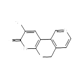 N#Cc1cc2c([nH]c1=O)SCc1ccncc1-2